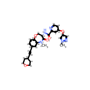 CN1C(=O)[C@@H](NC(=O)c2cc(Oc3cnn(C)c3)ccn2)COc2ccc(C#CC3CCOCC3)cc21